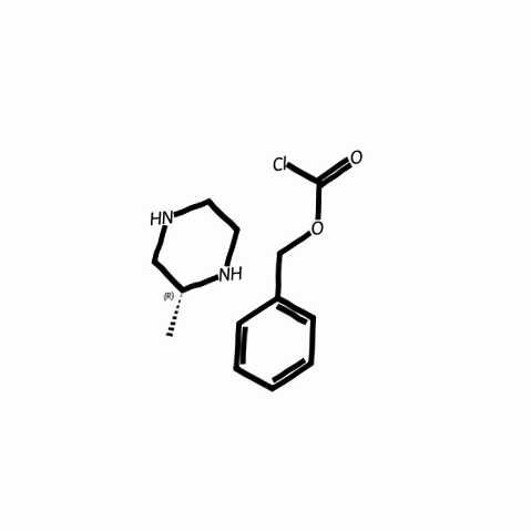 C[C@@H]1CNCCN1.O=C(Cl)OCc1ccccc1